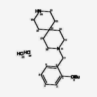 CC(C)COc1ccccc1CN1CCC2(CCNCC2)CC1.Cl.Cl